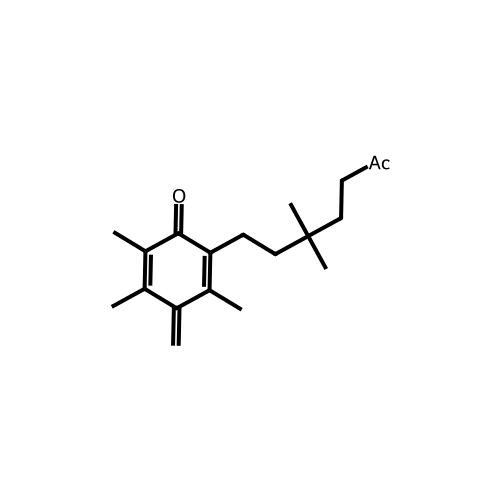 C=C1C(C)=C(C)C(=O)C(CCC(C)(C)CCC(C)=O)=C1C